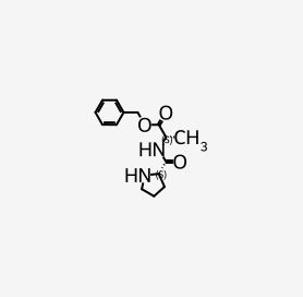 C[C@H](NC(=O)[C@@H]1CCCN1)C(=O)OCc1ccccc1